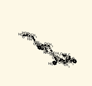 CCCC(=O)OCN(C(=O)[C@@H](NC(=O)[C@H]1CCCCN1C)C(C)CC)[C@H](C[C@@H](OC(C)=O)c1nc(C(=O)N[C@@H](Cc2ccc(O)cc2)C[C@H](C)C(=O)NNC(=O)OCCSSC[C@@H](C)NC(=O)[C@@H](CC(=O)O)NC(=O)[C@@H](CC(=O)O)NC(=O)Cc2ccc(CNC(=O)NCCCC[C@@H](C)NC(=O)N[C@@H](CCC(=O)O)C(=O)O)cc2)cs1)C(C)C